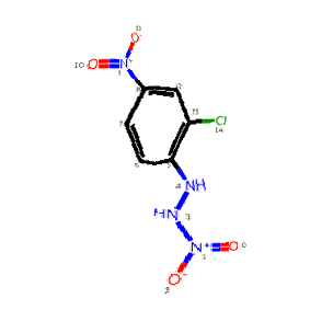 O=[N+]([O-])NNc1ccc([N+](=O)[O-])cc1Cl